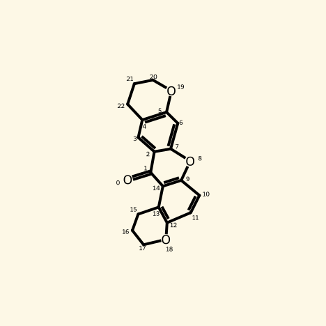 O=c1c2cc3c(cc2oc2ccc4c(c12)CCCO4)OCCC3